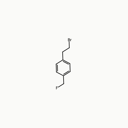 FCc1ccc(CCBr)cc1